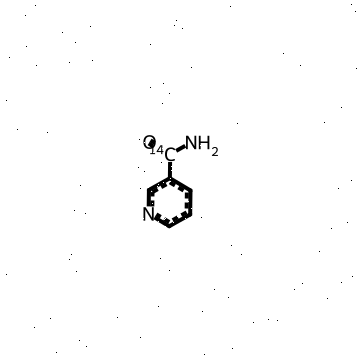 N[14C](=O)c1cccnc1